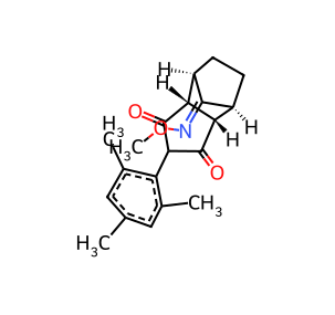 CON=C1[C@H]2CC[C@@H]1[C@H]1C(=O)C(c3c(C)cc(C)cc3C)C(=O)[C@H]12